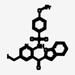 CC(C)Oc1ccc(S(=O)(=O)Nc2ncc(CI)cc2C(=O)c2cc3ccccc3o2)cc1